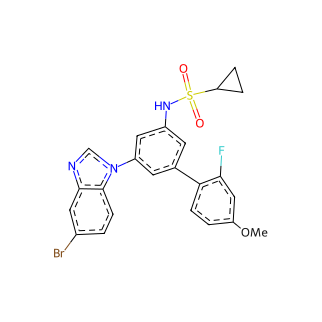 COc1ccc(-c2cc(NS(=O)(=O)C3CC3)cc(-n3cnc4cc(Br)ccc43)c2)c(F)c1